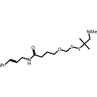 CNCC(C)(C)SSCOCCCC(=O)NC/C=C/C(C)C